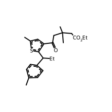 CCOC(=O)CC(C)(C)CC(=O)c1cc(C)sc1C(CC)c1ccc(C)cc1